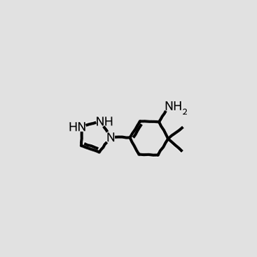 CC1(C)CCC(N2C=CNN2)=CC1N